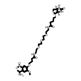 COc1cc(C(C)N)c([N+](=O)[O-])cc1OCCCC(=O)NCCOCCOCCOCCNC(=O)CCCC[C@@H]1SC[C@@H]2NC(=O)N[C@@H]21